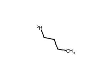 [2H]CC[CH]C